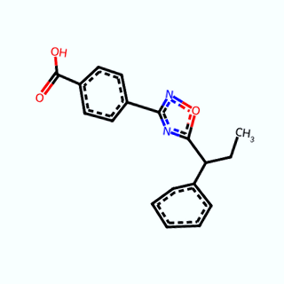 CCC(c1ccccc1)c1nc(-c2ccc(C(=O)O)cc2)no1